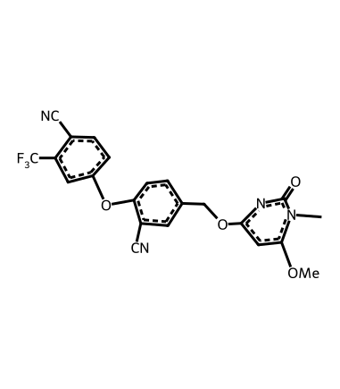 COc1cc(OCc2ccc(Oc3ccc(C#N)c(C(F)(F)F)c3)c(C#N)c2)nc(=O)n1C